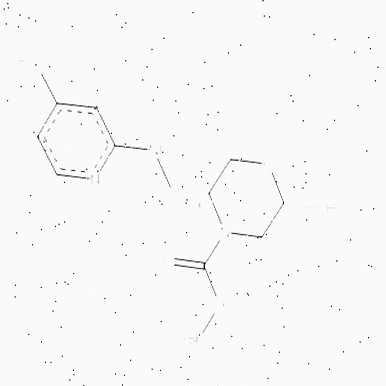 C[C@@H]1CN(C(=O)OC(C)(C)C)[C@H](CNc2cc(C(F)(F)F)ccn2)[C@H](C)O1